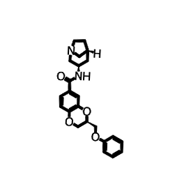 O=C(N[C@@H]1C[C@H]2CCN(C2)C1)c1ccc2c(c1)O[C@@H](COc1ccccc1)CO2